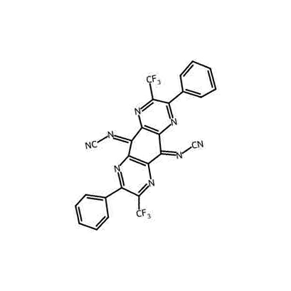 N#C/N=C1\c2nc(-c3ccccc3)c(C(F)(F)F)nc2/C(=N/C#N)c2nc(-c3ccccc3)c(C(F)(F)F)nc21